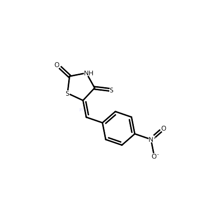 O=C1NC(=S)/C(=C\c2ccc([N+](=O)[O-])cc2)S1